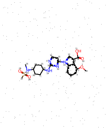 COc1cccc2c1c(C(=O)O)cn2-c1ccnc(NC2CCC(N(C)S(C)(=O)=O)CC2)n1